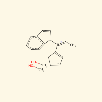 C/[CH]=[Ti](\[C]1=CC=CC1)[CH]1C=Cc2ccccc21.CO.CO